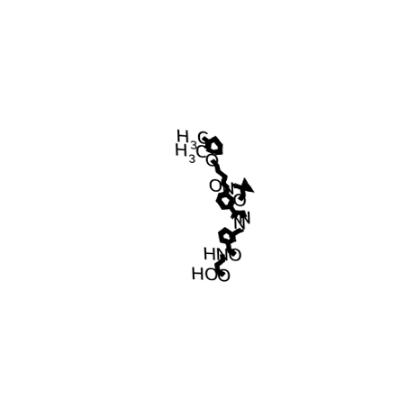 Cc1cccc(OCCCC(=O)N2CC3(CC3)COc3c(-c4cnn(Cc5cccc(C(=O)NCCC(=O)O)c5)c4)cccc32)c1C